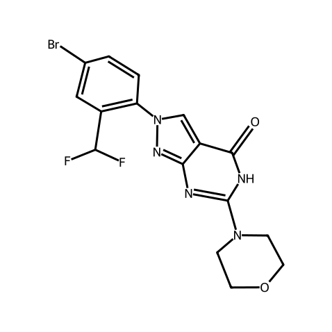 O=c1[nH]c(N2CCOCC2)nc2nn(-c3ccc(Br)cc3C(F)F)cc12